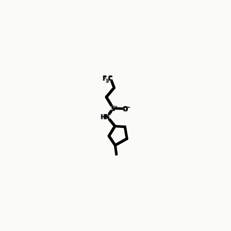 CC1CCC(N[S+]([O-])CCC(F)(F)F)C1